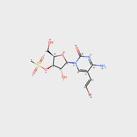 CS(=O)(=O)O[C@@H]1[C@@H](O)[C@H](n2cc(C=CBr)c(N)nc2=O)O[C@@H]1CO